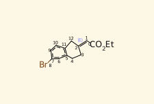 CCOC(=O)/C=C1\CCc2cc(Br)ccc2C1